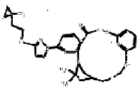 CC1(C)CC2CCCNc3cccc(n3)SNC(=O)c3ccc(-n4ccc(OCCC5(C(F)(F)F)CC5)n4)nc3N1C2